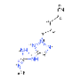 CC/N=C(/N)Nc1cnn(CCCCC#N)n1